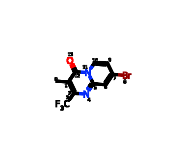 Cc1c(C(F)(F)F)nc2cc(Br)ccn2c1=O